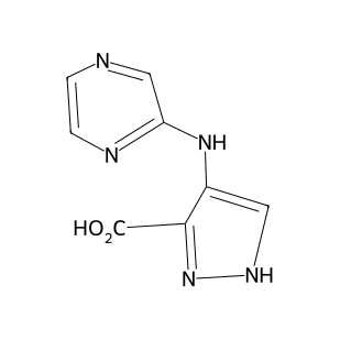 O=C(O)c1n[nH]cc1Nc1cnccn1